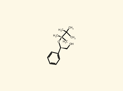 CC(C)(C)[Si](C)(C)O[C@@H](CO)c1ccccc1